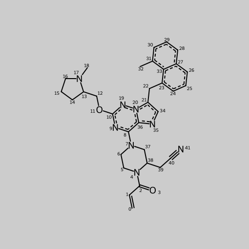 C=CC(=O)N1CCN(c2nc(OCC3CCCN3C)nn3c(Cc4cccc5cccc(C)c45)cnc23)CC1CC#N